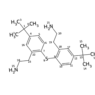 CC(C)(C)c1ccc(Sc2ccc(C(C)(C)C)cc2CCN)c(CCN)c1